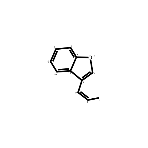 C/C=C\c1coc2ccccc12